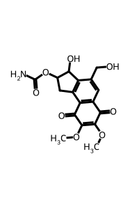 COC1=C(OC)C(=O)c2c(cc(CO)c3c2CC(OC(N)=O)C3O)C1=O